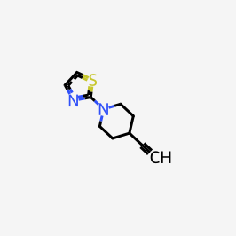 C#CC1CCN(c2nccs2)CC1